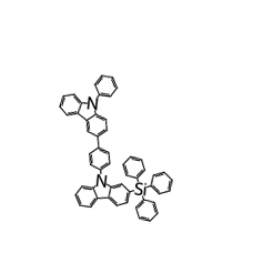 c1ccc(-n2c3ccccc3c3cc(-c4ccc(-n5c6ccccc6c6ccc([Si](c7ccccc7)(c7ccccc7)c7ccccc7)cc65)cc4)ccc32)cc1